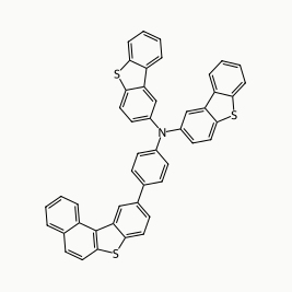 c1ccc2c(c1)ccc1sc3ccc(-c4ccc(N(c5ccc6sc7ccccc7c6c5)c5ccc6sc7ccccc7c6c5)cc4)cc3c12